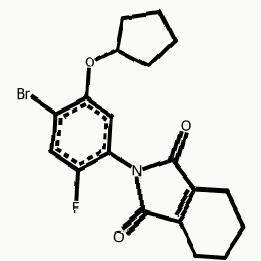 O=C1C2=C(CCCC2)C(=O)N1c1cc(OC2CCCC2)c(Br)cc1F